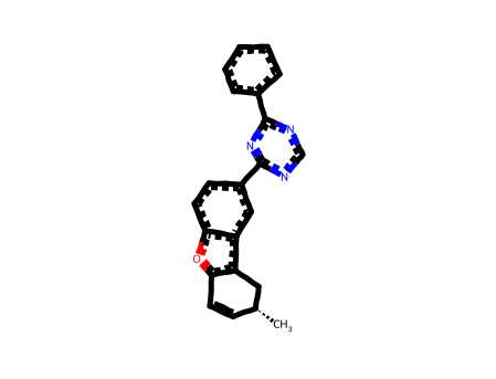 C[C@@H]1C=Cc2oc3ccc(-c4ncnc(-c5ccccc5)n4)cc3c2C1